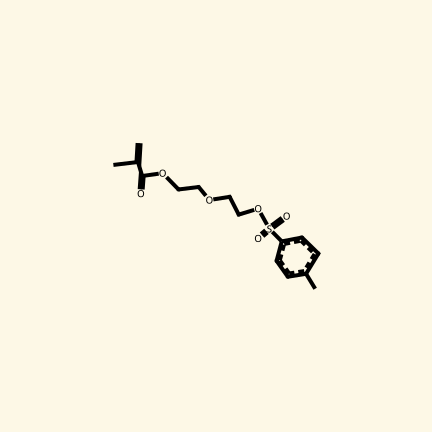 C=C(C)C(=O)OCCOCCOS(=O)(=O)c1ccc(C)cc1